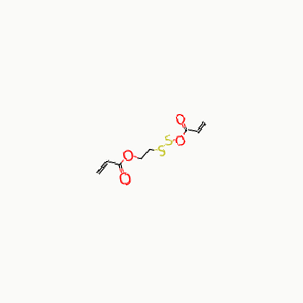 C=CC(=O)OCCSSOC(=O)C=C